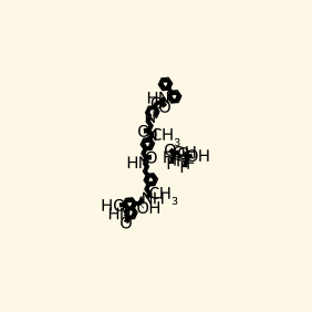 C[C@H](Cc1cccc(CCNC(=O)Cc2ccc(N(C)C(=O)CCN3CCC(OC(=O)Nc4ccccc4-c4ccccc4)CC3)cc2)c1)NC[C@H](O)c1ccc(O)c2[nH]c(=O)ccc12.O=C(O)C(F)(F)F.O=C(O)C(F)(F)F